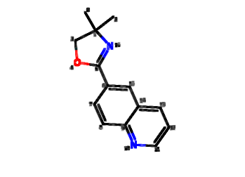 CC1(C)COC(c2ccc3ncccc3c2)=N1